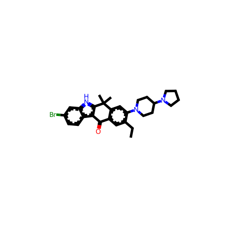 CCc1cc2c(cc1N1CCC(N3CCCC3)CC1)C(C)(C)c1[nH]c3cc(Br)ccc3c1C2=O